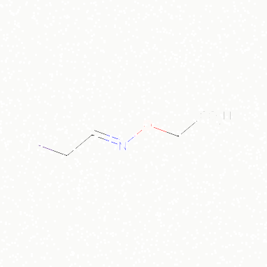 O=C(O)CON=CCI